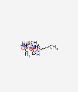 C/C=C/C=C/C=C/C(=O)N[C@@H](CC(=O)N[C@H](C(=O)[C@@H]1C(=O)NC(=O)[C@H]1C)C(C)C)c1ccccc1